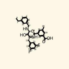 CCc1cccc(CNC[C@H](O)[C@H](Cc2cc(F)cc(F)c2)NC(=O)c2cc(C)cc(C(=O)O)c2)c1